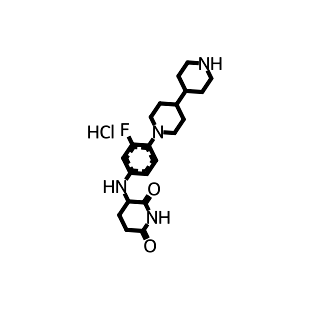 Cl.O=C1CCC(Nc2ccc(N3CCC(C4CCNCC4)CC3)c(F)c2)C(=O)N1